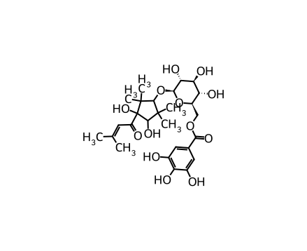 CC(C)=CC(=O)C1(O)C(O)C(C)(C)C(O[C@@H]2O[C@H](COC(=O)c3cc(O)c(O)c(O)c3)[C@@H](O)[C@H](O)[C@H]2O)C1(C)C